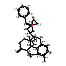 C=C1CCC2(OC/C=C/c3ccccc3)C3Cc4ccc(C)c5c4[C@@]2(CCN3CC2CC2)[C@H]1O5